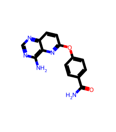 NC(=O)c1ccc(Oc2ccc3ncnc(N)c3n2)cc1